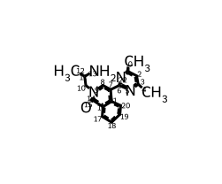 Cc1cc(C)nc(-c2cn(CC(C)N)c(=O)c3ccccc23)n1